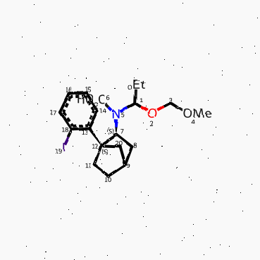 CCC(OCOC)N(C(=O)O)[C@H]1CC2CC[C@@]1(c1ccccc1I)C2